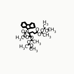 COC(=O)N(C(CCC(=O)OC(C)OC(C)OC)C(=O)OC(C)OC(C)OC)C1c2ccccc2-c2ccccc21